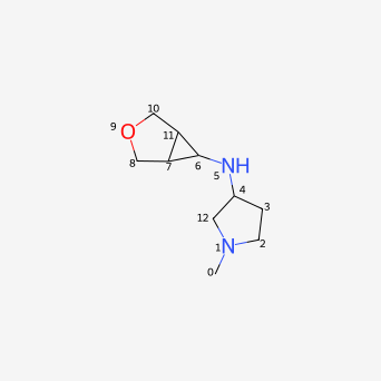 CN1CCC(NC2C3COCC32)C1